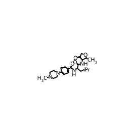 CC(C)CC(NC(=O)c1ccc(N2CCN(C)CC2)cc1)C(=O)NC1C(=O)COC1C